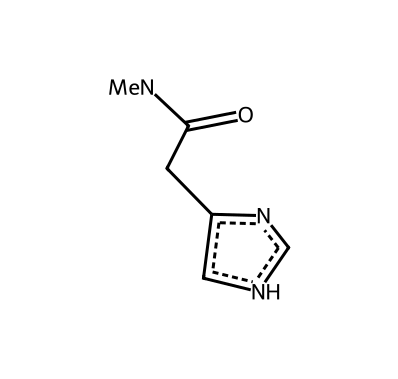 CNC(=O)Cc1c[nH]cn1